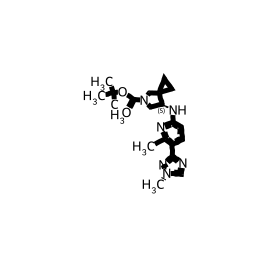 Cc1nc(N[C@@H]2CN(C(=O)OC(C)(C)C)CC23CC3)ccc1-c1ncn(C)n1